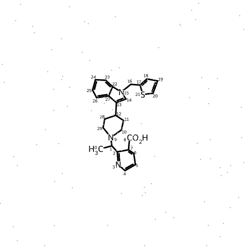 CC(c1ncccc1C(=O)O)N1CCC(c2cn(Cc3cccs3)c3ccccc23)CC1